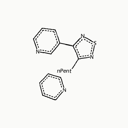 CCCCCc1nsnc1-c1cccnc1.c1ccncc1